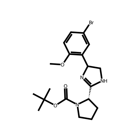 COc1ccc(Br)cc1C1CNC([C@@H]2CCCN2C(=O)OC(C)(C)C)=N1